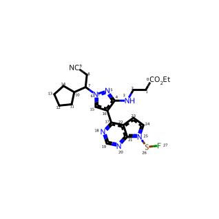 CCOC(=O)CCNc1nn(C(CC#N)C2CCCC2)cc1-c1ncnc2c1ccn2SF